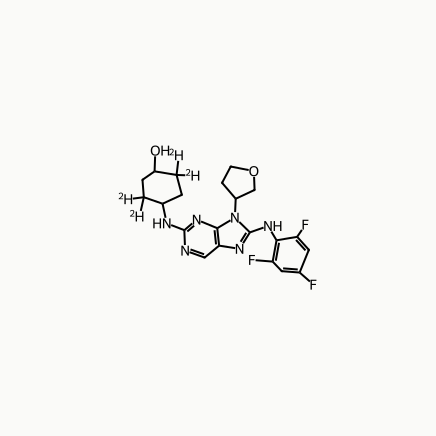 [2H]C1([2H])CC(Nc2ncc3nc(Nc4c(F)cc(F)cc4F)n(C4CCOC4)c3n2)C([2H])([2H])CC1O